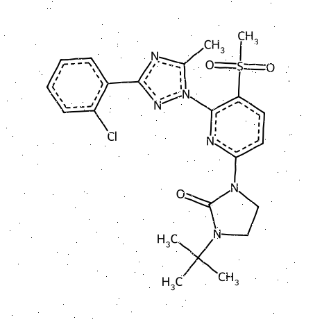 Cc1nc(-c2ccccc2Cl)nn1-c1nc(N2CCN(C(C)(C)C)C2=O)ccc1S(C)(=O)=O